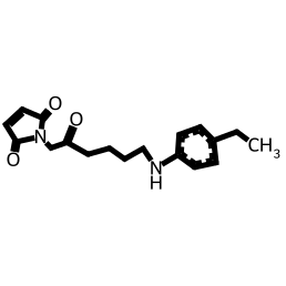 CCc1ccc(NCCCCC(=O)CN2C(=O)C=CC2=O)cc1